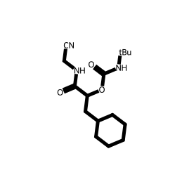 CC(C)(C)NC(=O)OC(CC1CCCCC1)C(=O)NCC#N